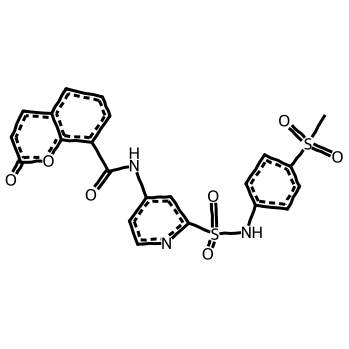 CS(=O)(=O)c1ccc(NS(=O)(=O)c2cc(NC(=O)c3cccc4ccc(=O)oc34)ccn2)cc1